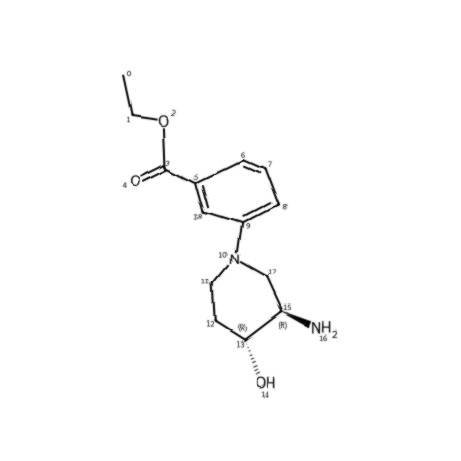 CCOC(=O)c1cccc(N2CC[C@@H](O)[C@H](N)C2)c1